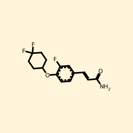 NC(=O)C=Cc1ccc(OC2CCC(F)(F)CC2)c(F)c1